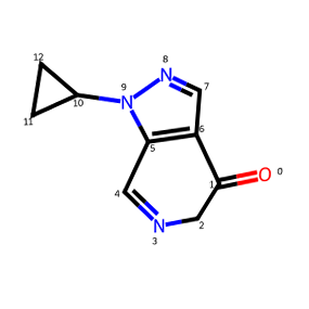 O=C1CN=Cc2c1cnn2C1CC1